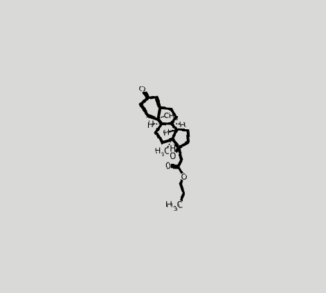 CCCOC(=O)CC1(O)CC[C@H]2[C@@H]3CCC4=CC(=O)CC[C@]4(C)[C@@H]3CC[C@@]21C